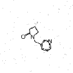 C[C@H]1CC(=O)N(Cc2cccnc2)C1